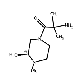 C[C@H]1CN(C(=O)C(C)(C)N)CCN1C(C)(C)C